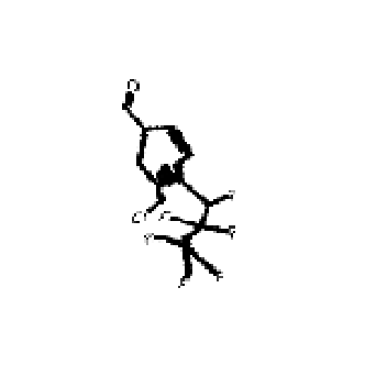 O=Cc1ccc(C(F)C(F)(F)C(F)(F)F)c(Cl)c1